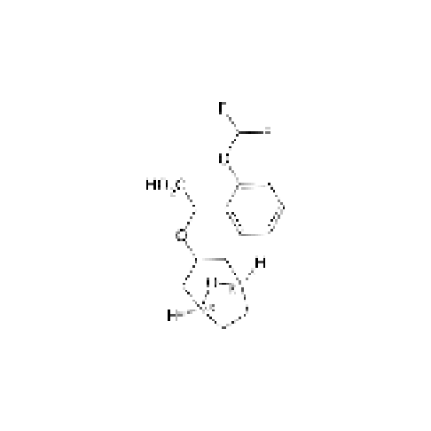 O=C(O)C(OC1C[C@H]2CC[C@@H](C1)O2)c1ccccc1OC(F)F